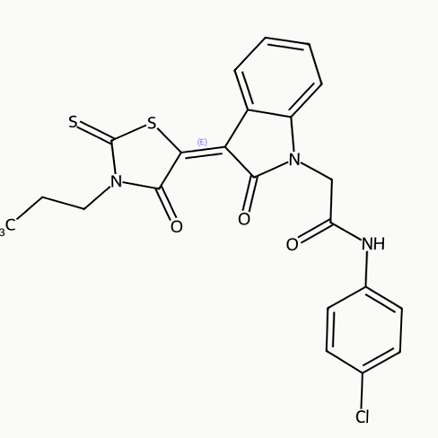 CCCN1C(=O)/C(=C2\C(=O)N(CC(=O)Nc3ccc(Cl)cc3)c3ccccc32)SC1=S